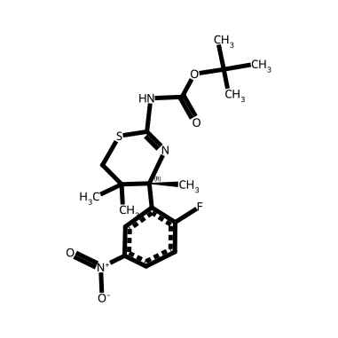 CC(C)(C)OC(=O)NC1=N[C@](C)(c2cc([N+](=O)[O-])ccc2F)C(C)(C)CS1